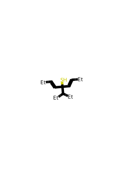 CCC=CC(S)(C=CCC)C(CC)CC